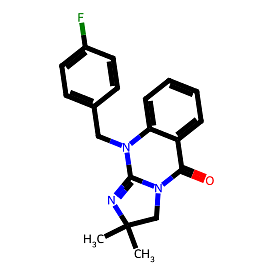 CC1(C)CN2C(=O)c3ccccc3N(Cc3ccc(F)cc3)C2=N1